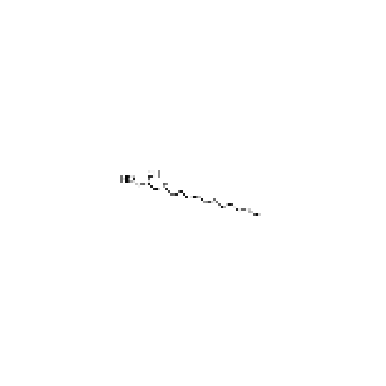 CCCCCCCCCCC=CSCC(O)CO